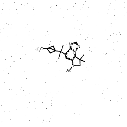 CC(=O)N1CC(C)(C)c2c1cc(C(F)(F)C13CC(C(F)(F)F)(C1)C3)c1ncnn21